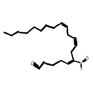 CCCCCCCC/C=C\C/C=C\C/C(=C\CCC[C]=O)[N+](=O)[O-]